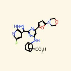 O=C(O)C1C2CCC(CC2)C1Nc1cc(-c2ccc(N3CCOCC3)o2)nc(-c2n[nH]c3ncc(F)cc23)n1